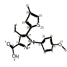 CCc1c(C(=O)O)nn(-c2ccc(OC)cc2)c1-c1cc(C)cs1